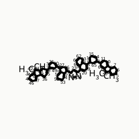 CC1(C)c2ccccc2-c2ccc(-c3cccc(-c4ccc(-c5cc(-c6ccc(-c7cccc(-c8ccc9c(c8)C(C)(C)c8ccccc8-9)c7)c7ccccc67)ncn5)c5ccccc45)c3)cc21